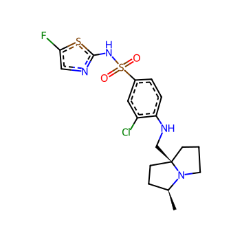 C[C@H]1CC[C@]2(CNc3ccc(S(=O)(=O)Nc4ncc(F)s4)cc3Cl)CCCN12